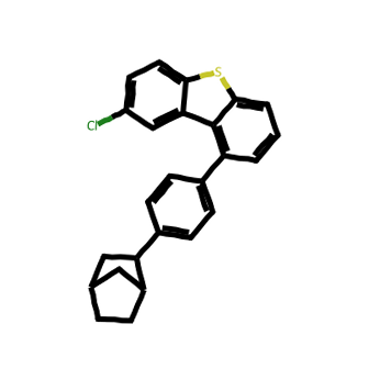 Clc1ccc2sc3cccc(-c4ccc(C5CC6CCC5C6)cc4)c3c2c1